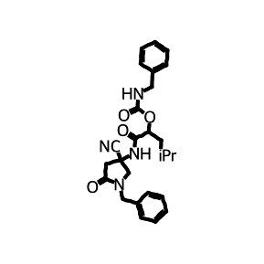 CC(C)CC(OC(=O)NCc1ccccc1)C(=O)NC1(C#N)CC(=O)N(Cc2ccccc2)C1